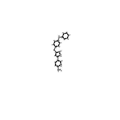 Nc1ccc(-c2cc(Cc3ccc(Oc4ccccc4)cc3)no2)cn1